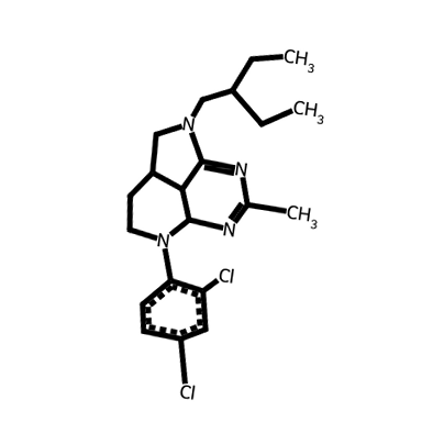 CCC(CC)CN1CC2CCN(c3ccc(Cl)cc3Cl)C3N=C(C)N=C1C23